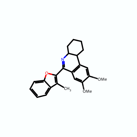 COc1cc2c(cc1OC)C1CCCCC1N=C2c1oc2ccccc2c1C